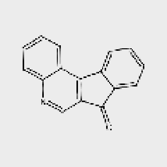 O=C1c2ccccc2-c2c1cnc1ccccc21